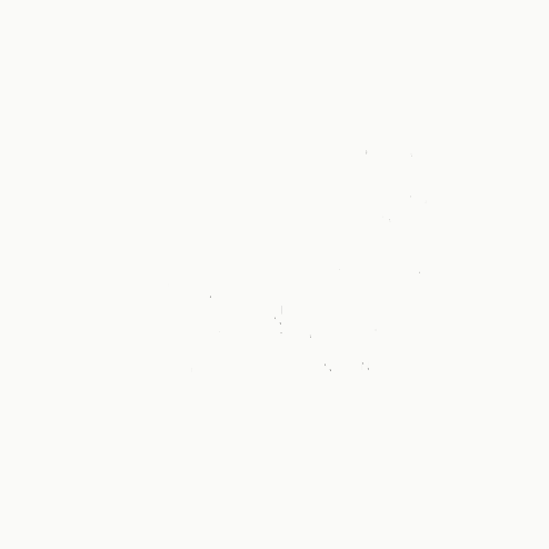 Cc1cccc(C(=O)Nc2n[nH]c3ccc(-c4ccco4)cc23)c1